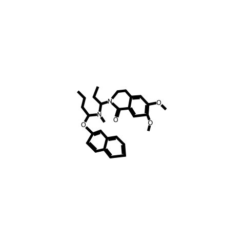 CCCC(Oc1ccc2ccccc2c1)N(C)C(CC)N1CCc2cc(OC)c(OC)cc2C1=O